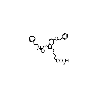 CN(CCc1ccccc1)C(=O)Cn1cc(CCCCC(=O)O)c2cc(OCc3ccccc3)ccc21